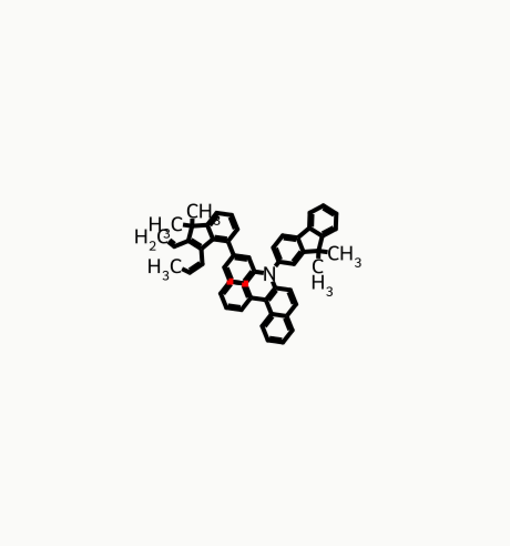 C=CC1=C(/C=C\C)c2c(-c3cccc(N(c4ccc5c(c4)C(C)(C)c4ccccc4-5)c4ccc5ccccc5c4-c4ccccc4)c3)cccc2C1(C)C